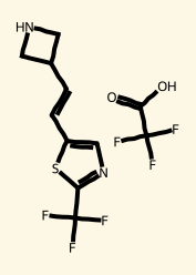 FC(F)(F)c1ncc(C=CC2CNC2)s1.O=C(O)C(F)(F)F